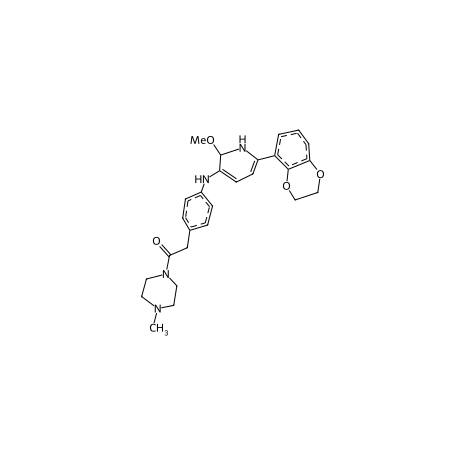 COC1NC(c2cccc3c2OCCO3)=CC=C1Nc1ccc(CC(=O)N2CCN(C)CC2)cc1